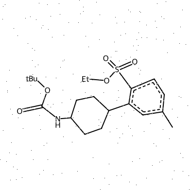 CCOS(=O)(=O)c1ccc(C)cc1C1CCC(NC(=O)OC(C)(C)C)CC1